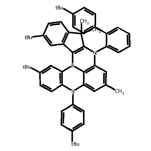 Cc1cc2c3c(c1)N(c1ccc(C(C)(C)C)cc1)c1ccc(C(C)(C)C)cc1B3C1=C(N2c2ccccc2-c2ccc(C(C)(C)C)cc2)C(C)(C)c2ccc(C(C)(C)C)cc21